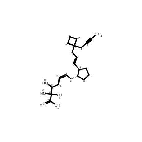 CC#CCC1(C/C=C/[C@H]2CCC[C@@H]2C/C=C\CC(O)C(O)(O)C(=O)O)CCC1